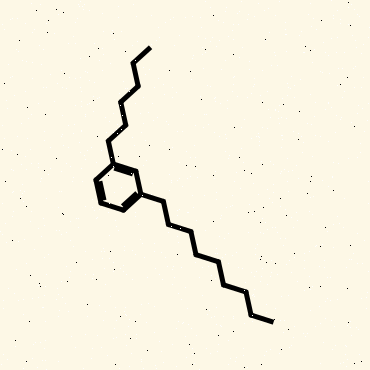 CCCCCCCCCc1cccc(CCCCCC)c1